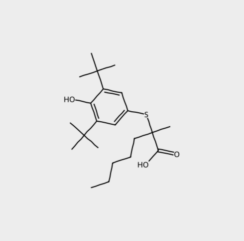 CCCCCC(C)(Sc1cc(C(C)(C)C)c(O)c(C(C)(C)C)c1)C(=O)O